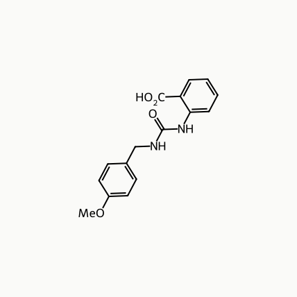 COc1ccc(CNC(=O)Nc2ccccc2C(=O)O)cc1